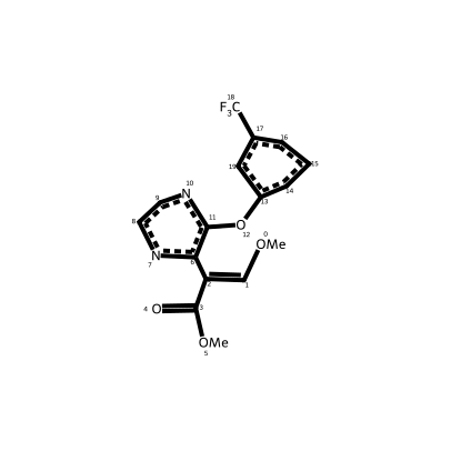 CO/C=C(/C(=O)OC)c1nccnc1Oc1cccc(C(F)(F)F)c1